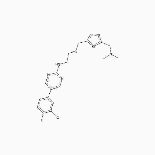 [CH2]c1ccc(-c2cnc(NCCSCc3ccc(CN(C)C)o3)nc2)cc1Cl